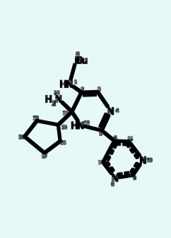 CCC(C)NC1=CN=C(c2cncnc2)NC1(N)C1CCCC1